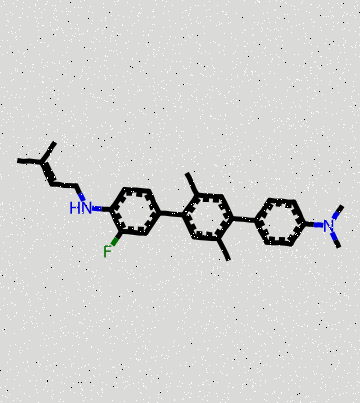 CC(C)=CCNc1ccc(-c2cc(C)c(-c3ccc(N(C)C)cc3)cc2C)cc1F